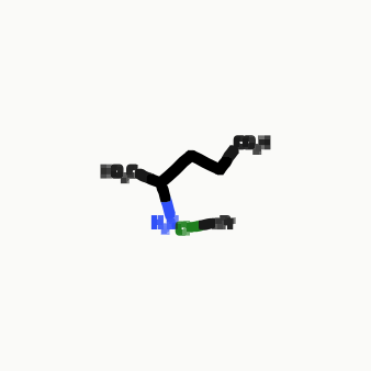 CCCCl.NC(CCC(=O)O)C(=O)O